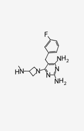 CNC1CN(c2nc(N)nc(N)c2Cc2cccc(F)c2)C1